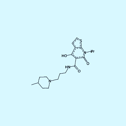 CC1CCN(CCCNC(=O)c2c(O)c3ccsc3n(C(C)C)c2=O)CC1